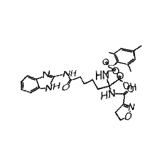 Cc1cc(C)c(S(=O)(=O)NC(CCCCC(=O)Nc2nc3ccccc3[nH]2)(NC(=O)C2=NOCC2)C(=O)O)c(C)c1